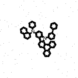 c1ccc(-c2cccc(-n3c4ccc(N(c5ccccc5)c5cccc6ccccc56)cc4c4ccc5c6ccccc6c6ccccc6c5c43)c2)cc1